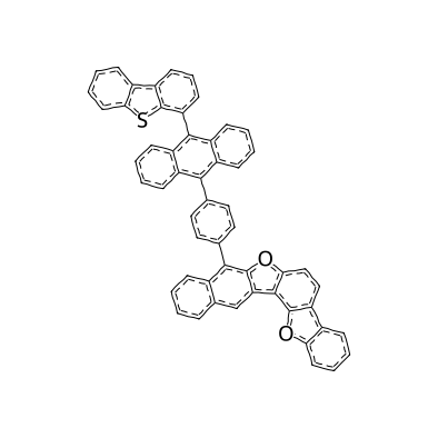 c1ccc2c(-c3ccc(-c4c5ccccc5c(-c5cccc6c5sc5ccccc56)c5ccccc45)cc3)c3oc4ccc5c6ccccc6oc5c4c3cc2c1